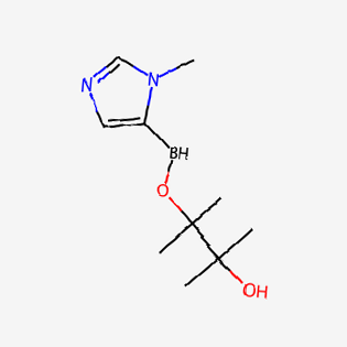 Cn1cncc1BOC(C)(C)C(C)(C)O